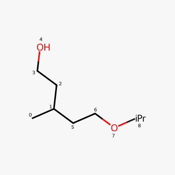 CC(CCO)CCOC(C)C